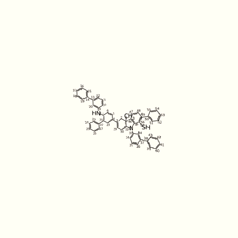 CC12CC(c3ccc(Nc4cccc(-c5ccccc5)c4)c(-c4ccccc4)c3)=CC=C1N(c1cccc(-c3ccccc3)c1)c1c2ccc(-c2ccccc2)c1S